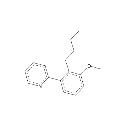 CCCCc1c(OC)cccc1-c1ccccn1